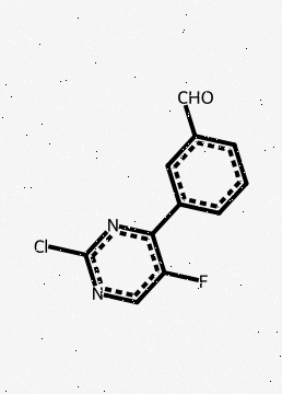 O=Cc1cccc(-c2nc(Cl)ncc2F)c1